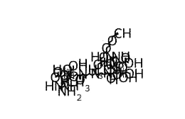 C#CCOCCOCCOCCOCCN(CCCNC(=O)CO[C@@H]([C@@H]1OC(C(=O)O)=C[C@H](NC(=N)N)[C@H]1C)[C@H](O)CO)CCCNC(=O)CO[C@@H]([C@@H]1OC(C(=O)O)=C[C@H](NC(=N)N)[C@H]1NC(C)=O)[C@H](O)CO